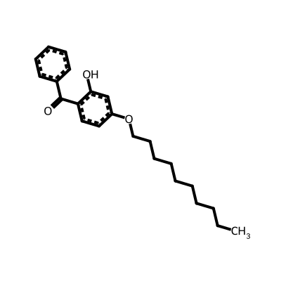 CCCCCCCCCCOc1ccc(C(=O)c2ccccc2)c(O)c1